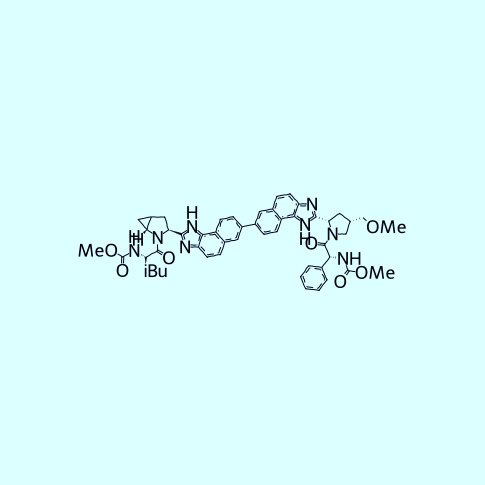 CC[C@H](C)[C@H](NC(=O)OC)C(=O)N1[C@@H]2CC2C[C@H]1c1nc2ccc3cc(-c4ccc5c(ccc6nc([C@@H]7C[C@H](COC)CN7C(=O)[C@H](NC(=O)OC)c7ccccc7)[nH]c65)c4)ccc3c2[nH]1